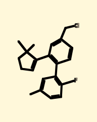 Cc1ccc(F)c(-c2ccc(CCl)cc2C2=CCCC2(C)C)c1